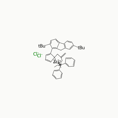 C=C(C[C]1([Zr+2]=[C](c2ccccc2)c2ccccc2)C=CC=C1c1c(C(C)(C)C)ccc2c1Cc1cc(C(C)(C)C)ccc1-2)C[Si](C)(C)C.[Cl-].[Cl-]